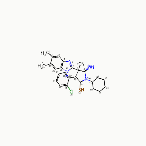 Cc1cc2nc(C3(C#N)C(=N)N(C4CCCCC4)C(S)C3c3ccccc3Cl)[nH]c2cc1C